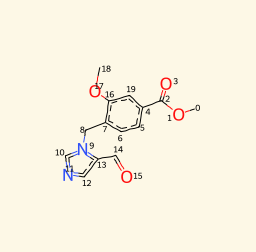 COC(=O)c1ccc(Cn2cncc2C=O)c(OC)c1